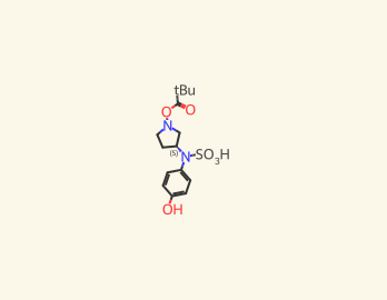 CC(C)(C)C(=O)ON1CC[C@H](N(c2ccc(O)cc2)S(=O)(=O)O)C1